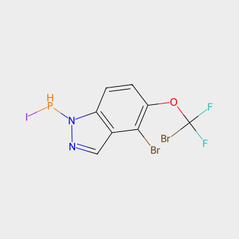 FC(F)(Br)Oc1ccc2c(cnn2PI)c1Br